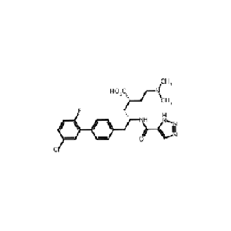 CN(C)CC[C@H](C[C@@H](Cc1ccc(-c2cc(Cl)ccc2F)cc1)NC(=O)c1cnn[nH]1)C(=O)O